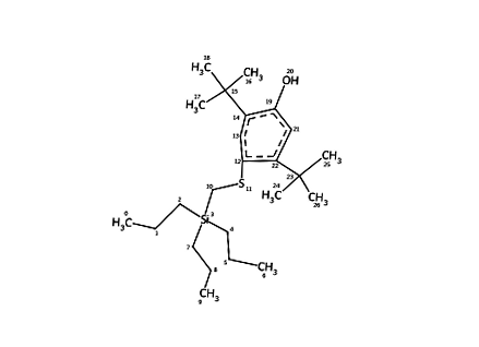 CCC[Si](CCC)(CCC)CSc1cc(C(C)(C)C)c(O)cc1C(C)(C)C